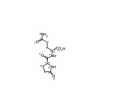 NC(=O)CC[C@H](NC(=O)[C@@H]1CCC(=O)N1)C(=O)O